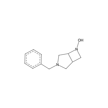 ON1CC2CN(Cc3ccccc3)CC21